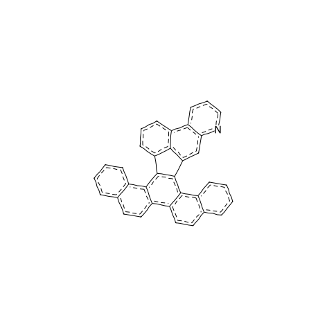 c1ccc2c(c1)ccc1c3ccc4ccccc4c3c3c(c21)-c1cccc2c1c-3cc1ncccc12